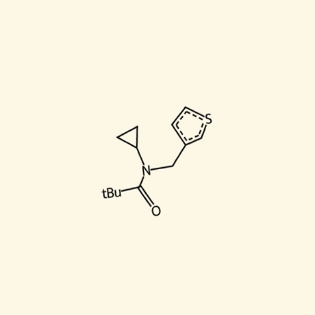 CC(C)(C)C(=O)N(Cc1ccsc1)C1CC1